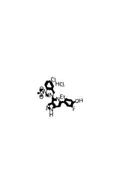 CCc1cc(O)c(F)cc1-c1cc2[nH]ncc2c(NCc2cc(Cl)ccc2N(C)S(C)(=O)=O)n1.Cl